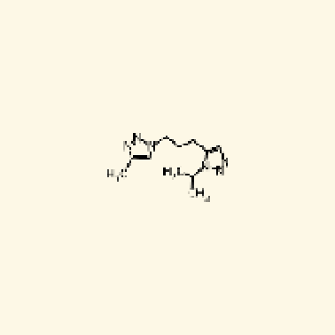 Cc1cn(CCCc2cnnn2C(C)C)nn1